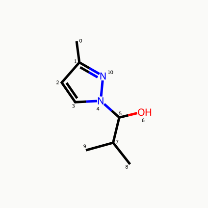 Cc1ccn(C(O)C(C)C)n1